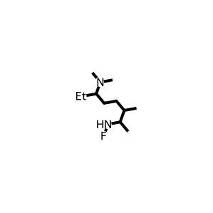 CCC(CCC(C)C(C)NF)N(C)C